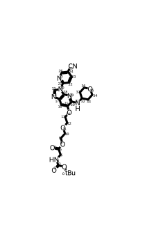 CC(C)(C)OC(=O)NCC(=O)OCCOCCOc1cc2ncn(-c3ccc(C#N)cn3)c2nc1NC1CCOCC1